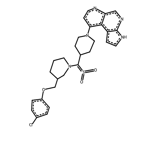 O=S(=O)=C(C1CCN(c2ccnc3cnc4[nH]ccc4c23)CC1)N1CCCC(COc2ccc(Cl)cc2)C1